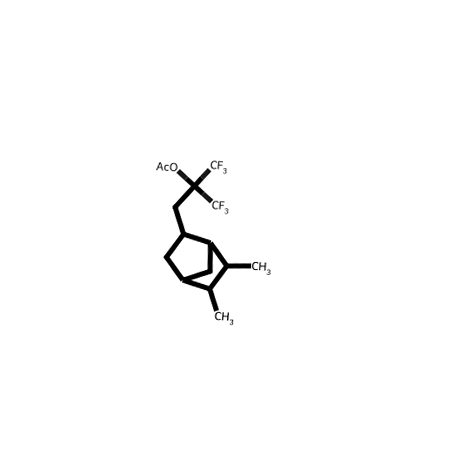 CC(=O)OC(CC1CC2CC1C(C)C2C)(C(F)(F)F)C(F)(F)F